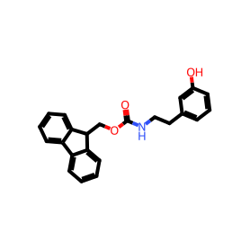 O=C(NCCc1cccc(O)c1)OCC1c2ccccc2-c2ccccc21